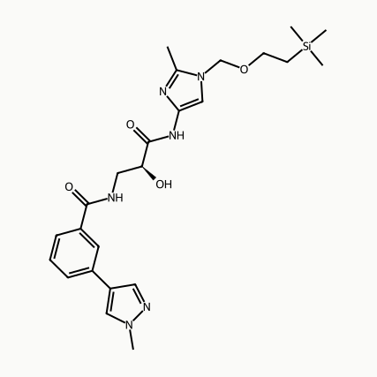 Cc1nc(NC(=O)[C@@H](O)CNC(=O)c2cccc(-c3cnn(C)c3)c2)cn1COCC[Si](C)(C)C